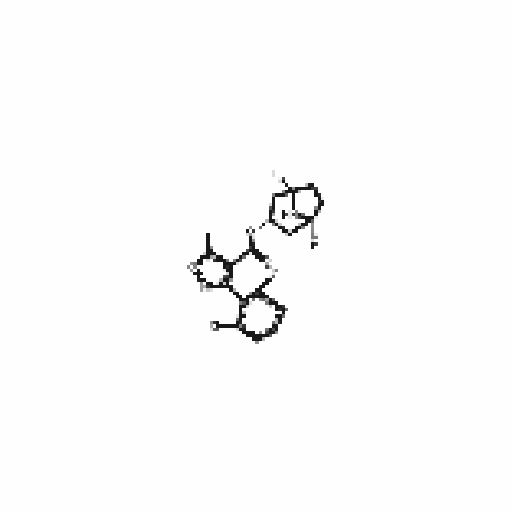 Cc1onc(-c2c(Cl)cccc2Cl)c1C(=O)O[C@H]1C[C@H]2CC[C@@H](C1)N2